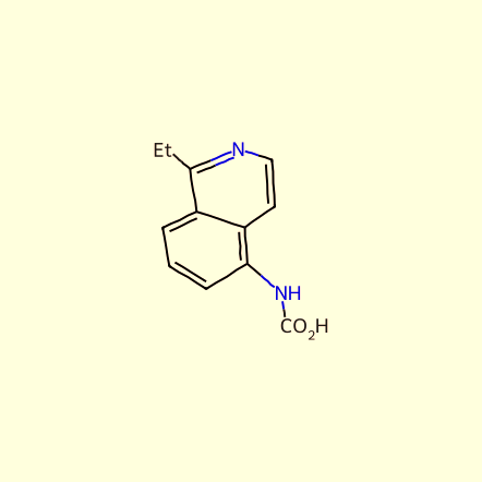 CCc1nccc2c(NC(=O)O)cccc12